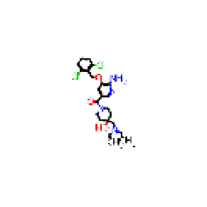 CCN(CC)CC1(O)CCN(C(=O)c2cnc(N)c(OCc3c(Cl)cccc3Cl)c2)CC1